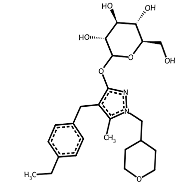 CCc1ccc(Cc2c(OC3O[C@H](CO)[C@@H](O)[C@H](O)[C@H]3O)nn(CC3CCOCC3)c2C)cc1